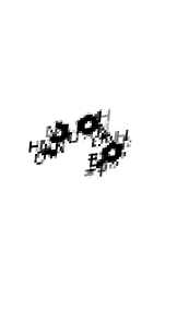 O=C(Nc1cccc(Oc2ccnc3[nH]c(=O)cnc23)c1)Nc1cc(C(F)(F)F)ccc1F